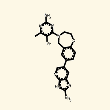 Cc1nc(N)nc(N2CCOc3ccc(-c4cnc5[nH]c(N)nc5c4)cc3C2)c1C(C)C